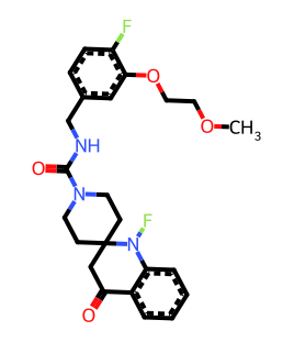 COCCOc1cc(CNC(=O)N2CCC3(CC2)CC(=O)c2ccccc2N3F)ccc1F